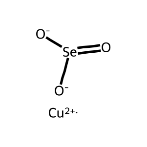 O=[Se]([O-])[O-].[Cu+2]